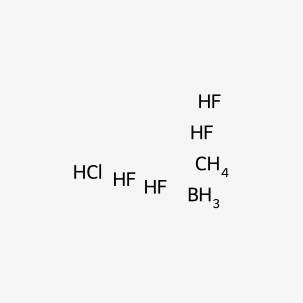 B.C.Cl.F.F.F.F